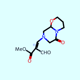 COC(=O)/C(C=O)=C/N1CC(=O)N2CCCOC2C1